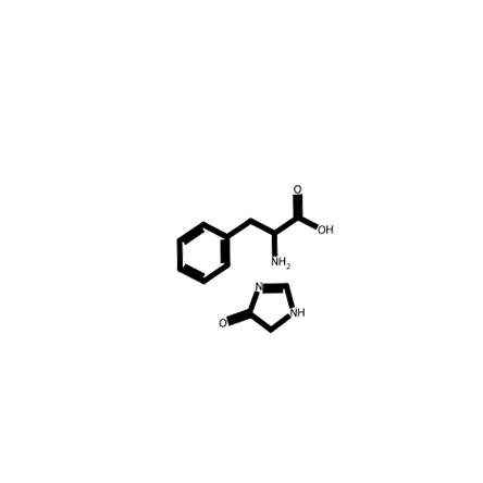 NC(Cc1ccccc1)C(=O)O.O=C1CNC=N1